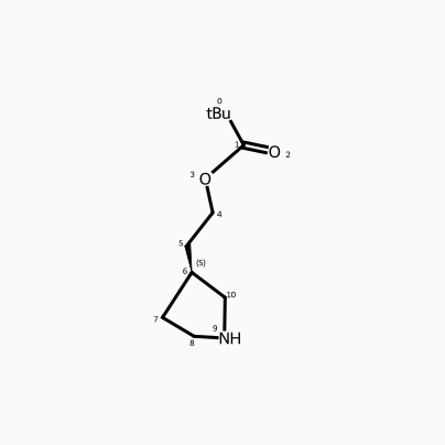 CC(C)(C)C(=O)OCC[C@@H]1CCNC1